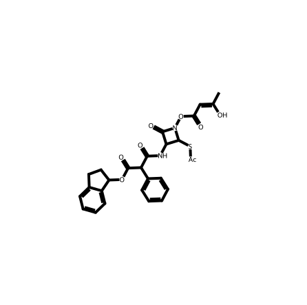 CC(=O)SC1C(NC(=O)C(C(=O)OC2CCc3ccccc32)c2ccccc2)C(=O)N1OC(=O)C=C(C)O